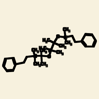 CC(C)(O[Si](C)(C)C(C)(C)O[Si](C)(C)CCc1ccccc1)[Si](C)(C)CCc1ccccc1